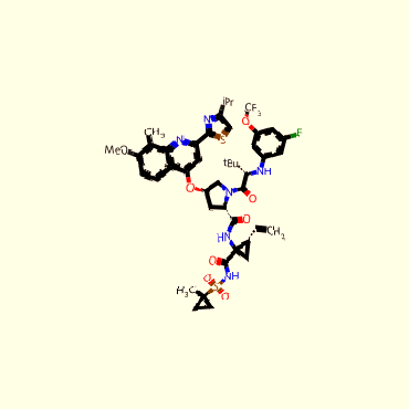 C=C[C@@H]1CC1(NC(=O)[C@@H]1C[C@@H](Oc2cc(-c3nc(C(C)C)cs3)nc3c(C)c(OC)ccc23)CN1C(=O)[C@@H](Nc1cc(F)cc(OC(F)(F)F)c1)C(C)(C)C)C(=O)NS(=O)(=O)C1(C)CC1